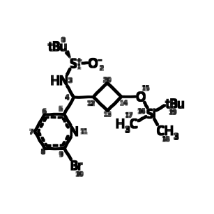 CC(C)(C)[S@@+]([O-])NC(c1cccc(Br)n1)C1CC(O[Si](C)(C)C(C)(C)C)C1